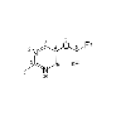 Cc1ncc(OC(F)F)cn1